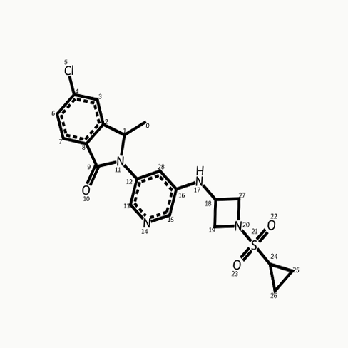 CC1c2cc(Cl)ccc2C(=O)N1c1cncc(NC2CN(S(=O)(=O)C3CC3)C2)c1